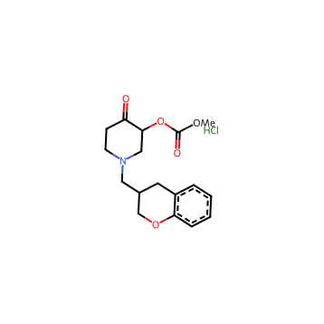 COC(=O)OC1CN(CC2COc3ccccc3C2)CCC1=O.Cl